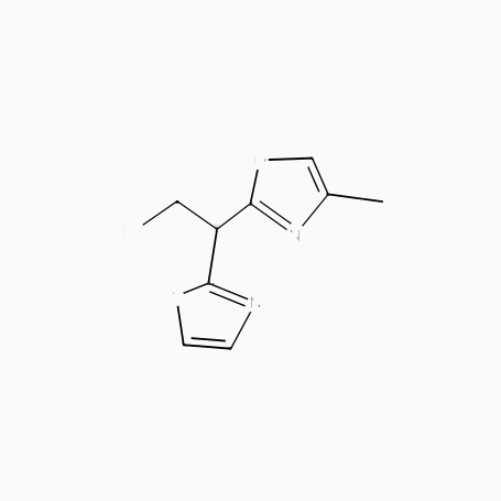 Cc1coc(C(CO)c2nccs2)n1